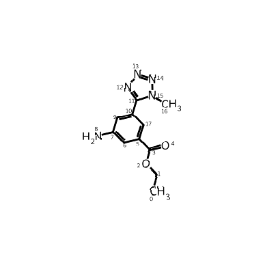 CCOC(=O)c1cc(N)cc(-c2nnnn2C)c1